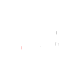 CC(C)/C(=C/CO)C(=O)O